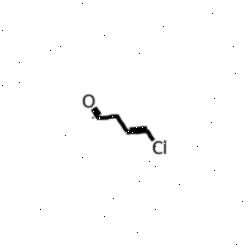 O=[C]CC=CCl